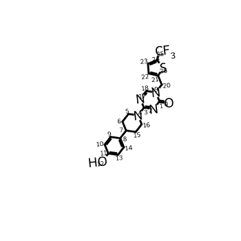 O=c1nc(N2CCC(c3ccc(O)cc3)CC2)ncn1Cc1ccc(C(F)(F)F)s1